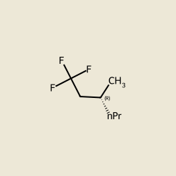 CCC[C@@H](C)CC(F)(F)F